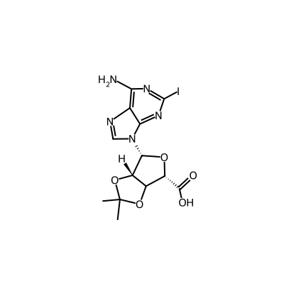 CC1(C)OC2[C@@H](C(=O)O)O[C@@H](n3cnc4c(N)nc(I)nc43)[C@H]2O1